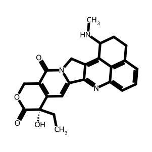 CC[C@@]1(O)C(=O)OCc2c1cc1n(c2=O)Cc2c-1nc1cccc3c1c2C(NC)CC3